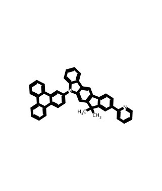 CC1(C)c2cc(-c3ccccn3)ccc2-c2cc3c4ccccc4n(-c4ccc5c6ccccc6c6ccccc6c5c4)c3cc21